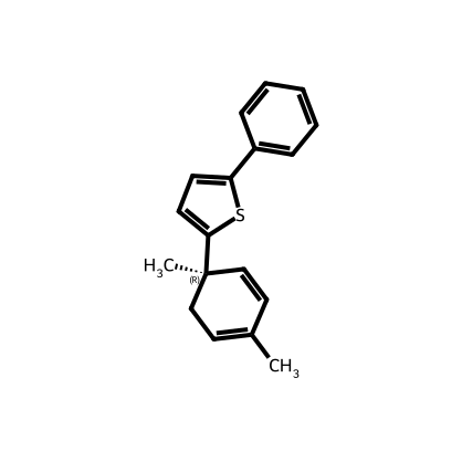 CC1=CC[C@@](C)(c2ccc(-c3ccccc3)s2)C=C1